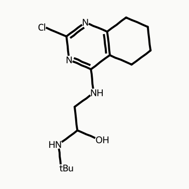 CC(C)(C)NC(O)CNc1nc(Cl)nc2c1CCCC2